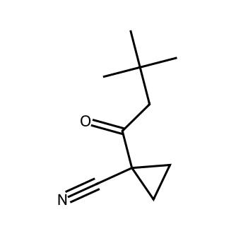 CC(C)(C)CC(=O)C1(C#N)CC1